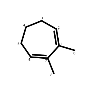 CC1=[C]CCCC=C1C